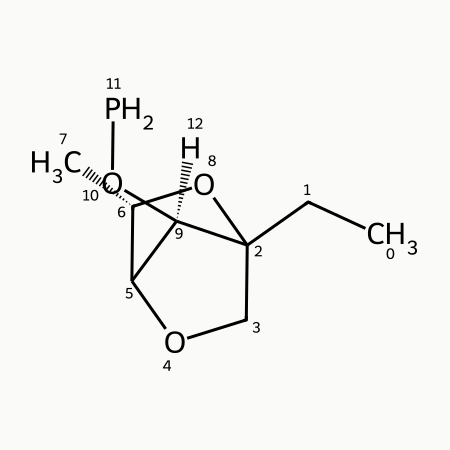 CCC12COC([C@H](C)O1)[C@H]2OP